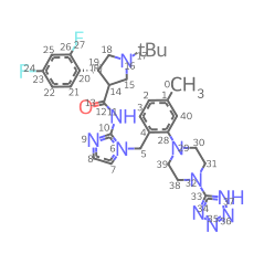 Cc1ccc(Cn2ccnc2NC(=O)C2CN(C(C)(C)C)C[C@H]2c2ccc(F)cc2F)c(N2CCN(c3nnn[nH]3)CC2)c1